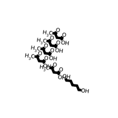 CC(=O)CC(=O)O.CC(=O)CC(=O)O.CC(=O)CC(=O)O.CC(=O)CC(=O)O.CC(=O)CC(=O)O.OCCCCCO